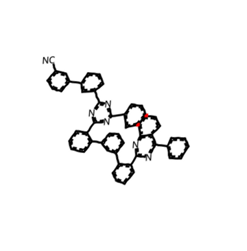 N#Cc1cccc(-c2cccc(-c3nc(-c4ccccc4)nc(-c4ccccc4-c4cccc(-c5ccccc5-c5nc(-c6ccccc6)c6ccccc6n5)c4)n3)c2)c1